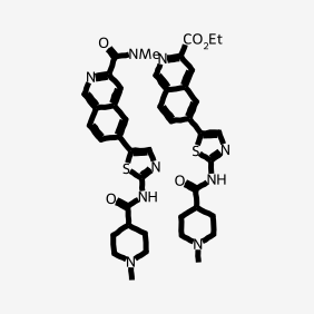 CCOC(=O)c1cc2cc(-c3cnc(NC(=O)C4CCN(C)CC4)s3)ccc2cn1.CNC(=O)c1cc2cc(-c3cnc(NC(=O)C4CCN(C)CC4)s3)ccc2cn1